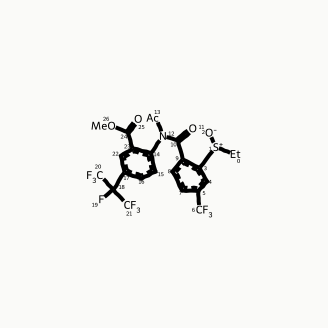 CC[S+]([O-])c1cc(C(F)(F)F)ccc1C(=O)N(C(C)=O)c1ccc(C(F)(C(F)(F)F)C(F)(F)F)cc1C(=O)OC